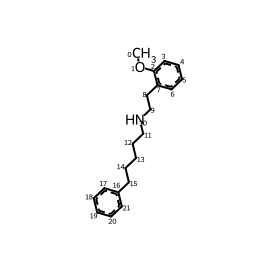 COc1ccccc1CCNCCCCCc1ccccc1